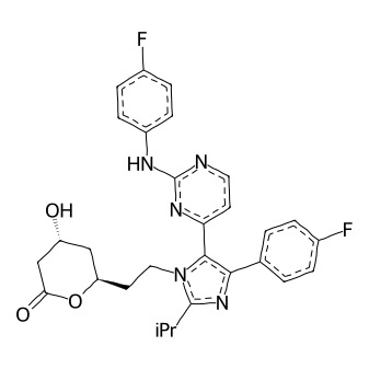 CC(C)c1nc(-c2ccc(F)cc2)c(-c2ccnc(Nc3ccc(F)cc3)n2)n1CC[C@@H]1C[C@@H](O)CC(=O)O1